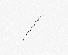 CCCCCCCCCP(O)O